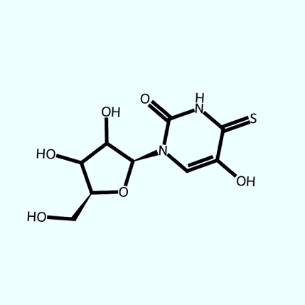 O=c1[nH]c(=S)c(O)cn1[C@H]1O[C@@H](CO)C(O)C1O